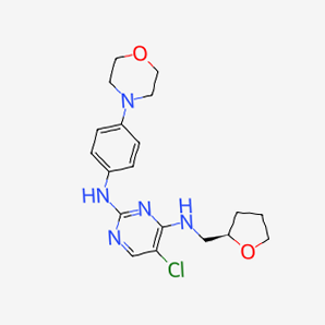 Clc1cnc(Nc2ccc(N3CCOCC3)cc2)nc1NC[C@H]1CCCO1